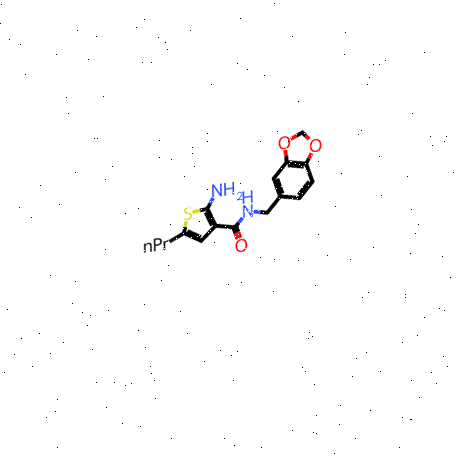 CCCc1cc(C(=O)NCc2ccc3c(c2)OCO3)c(N)s1